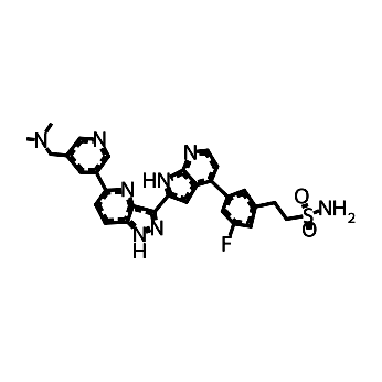 CN(C)Cc1cncc(-c2ccc3[nH]nc(-c4cc5c(-c6cc(F)cc(CCS(N)(=O)=O)c6)ccnc5[nH]4)c3n2)c1